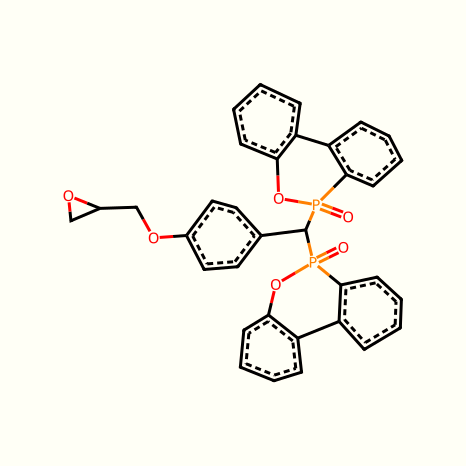 O=P1(C(c2ccc(OCC3CO3)cc2)P2(=O)Oc3ccccc3-c3ccccc32)Oc2ccccc2-c2ccccc21